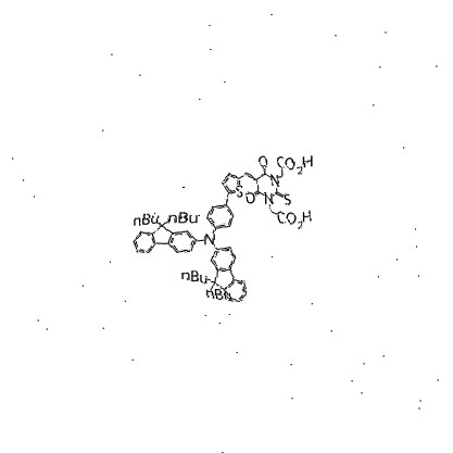 CCCCC1(CCCC)c2ccccc2-c2ccc(N(c3ccc(-c4ccc(C=C5C(=O)N(CC(=O)O)C(=S)N(CC(=O)O)C5=O)s4)cc3)c3ccc4c(c3)C(CCCC)(CCCC)c3ccccc3-4)cc21